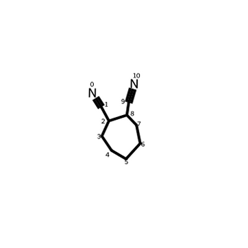 N#CC1CCCCCC1C#N